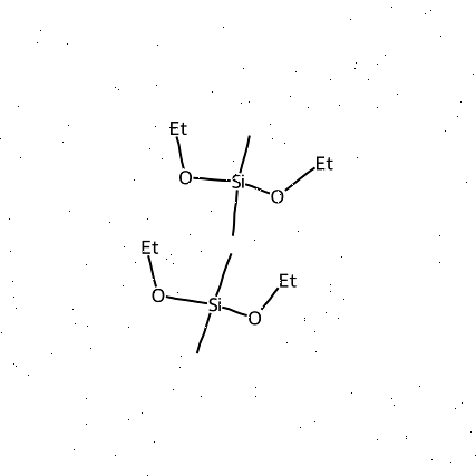 CCO[Si](C)(C)OCC.CCO[Si](C)(C)OCC